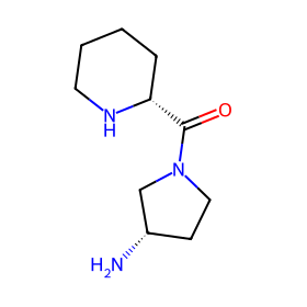 N[C@H]1CCN(C(=O)[C@H]2CCCCN2)C1